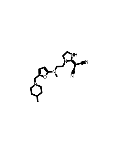 CC1CCN(Cc2ccc(N(C)CCN3CCNC3=C(C#N)C#N)o2)CC1